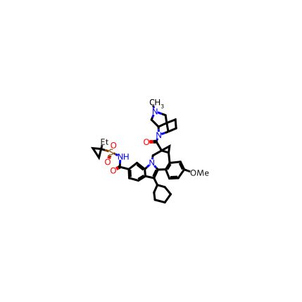 CCC1(S(=O)(=O)NC(=O)c2ccc3c(C4CCCCC4)c4n(c3c2)CC2(C(=O)N3C5CCC56CN(C)CC36)CC2c2cc(OC)ccc2-4)CC1